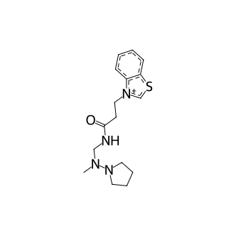 CN(CNC(=O)CC[n+]1csc2ccccc21)N1CCCC1